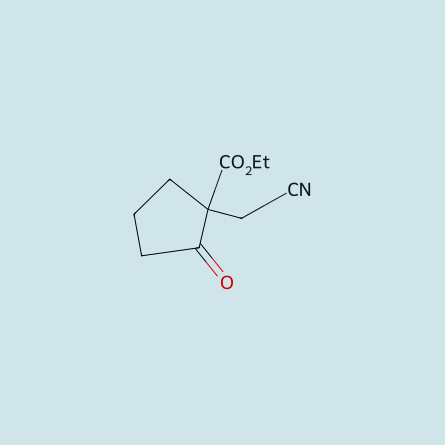 CCOC(=O)C1(CC#N)CCCC1=O